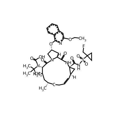 CCOc1cc2ccccc2c(O[C@@H]2C[C@H]3C(=O)N[C@]4(C(=O)NS(=O)(=O)C5(CF)CC5)C[C@H]4/C=C\CC[C@H](C)C[C@@H](C)[C@H](N(C(=O)O)C(C)(C)C)C(=O)N3C2)n1